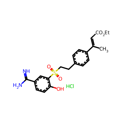 CCOC(=O)C=C(C)c1ccc(CCS(=O)(=O)c2cc(C(=N)N)ccc2O)cc1.Cl